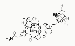 Cc1c(CCB2O[C@@H]3C[C@@H]4C[C@@H](C4(C)C)[C@]3(C)O2)ccc(OC2CN(C(=O)C(NC(=O)OC(C)(C)C)c3cn(CC(N)=O)cn3)C2)c1C(=O)OC(C)(C)C